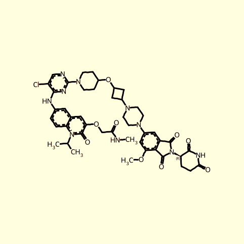 CNC(=O)COc1cc2cc(Nc3nc(N4CCC(OC5CC(N6CCN(c7cc(OC)c8c(c7)C(=O)N([C@@H]7CCC(=O)NC7=O)C8=O)CC6)C5)CC4)ncc3Cl)ccc2n(C(C)C)c1=O